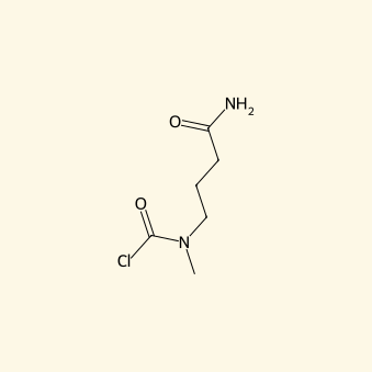 CN(CCCC(N)=O)C(=O)Cl